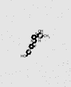 C[C@@H]1CNc2c(sc3ccc4nc(-c5ccc(N6CCC(CO)CC6)cc5F)ccc4c23)C(=O)N1